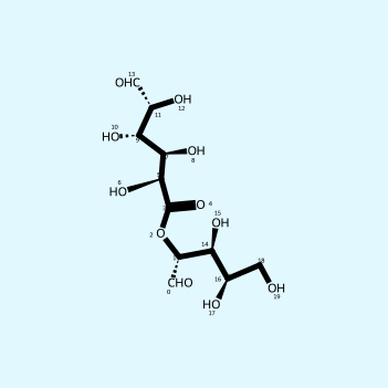 O=C[C@H](OC(=O)[C@@H](O)[C@H](O)[C@H](O)[C@@H](O)C=O)[C@@H](O)[C@H](O)CO